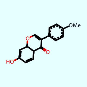 COc1ccc(C2=COC3C=C(O)C=CC3C2=O)cc1